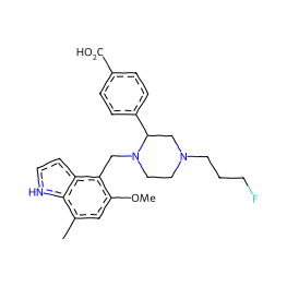 COc1cc(C)c2[nH]ccc2c1CN1CCN(CCCF)CC1c1ccc(C(=O)O)cc1